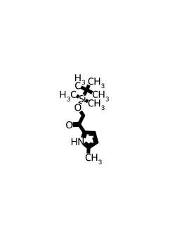 Cc1ccc(C(=O)CO[Si](C)(C)C(C)(C)C)[nH]1